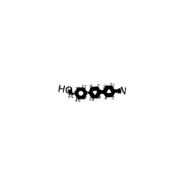 N#Cc1ccc(-c2ccc([C@H]3CC[C@H](CO)CC3)cc2)cc1